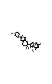 Cc1cc(Cl)c2nc(C3=Cc4cnc(N5CCNCC5)cc4CCC3=O)cn2c1